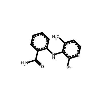 Cc1ccnc(C(C)C)c1Nc1ccccc1C(N)=O